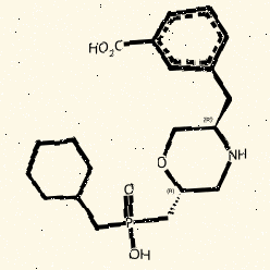 O=C(O)c1cccc(C[C@@H]2CO[C@@H](CP(=O)(O)CC3CCCCC3)CN2)c1